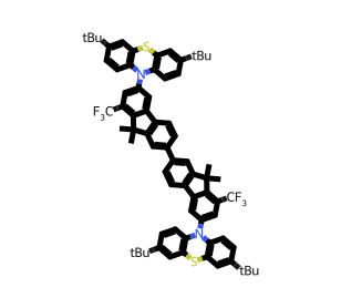 CC(C)(C)c1ccc2c(c1)Sc1cc(C(C)(C)C)ccc1N2c1cc2c(c(C(F)(F)F)c1)C(C)(C)c1cc(-c3ccc4c(c3)C(C)(C)c3c-4cc(N4c5ccc(C(C)(C)C)cc5Sc5cc(C(C)(C)C)ccc54)cc3C(F)(F)F)ccc1-2